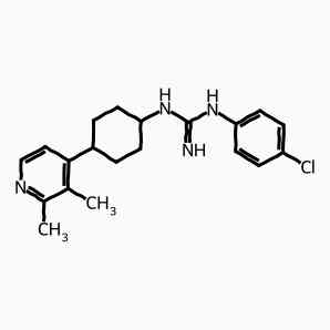 Cc1nccc(C2CCC(NC(=N)Nc3ccc(Cl)cc3)CC2)c1C